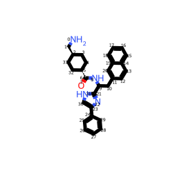 NC[C@H]1CC[C@H](C(=O)NC(Cc2ccc3ccccc3c2)c2nc(-c3ccccc3)c[nH]2)CC1